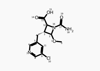 COC1[C@H](Cc2cncc(Cl)c2)C(C(=O)O)N1C(N)=O